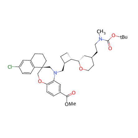 COC(=O)c1ccc2c(c1)N(C[C@H]1CC[C@@H]1[C@@H]1C[C@@H](CCN(C)C(=O)OC(C)(C)C)CCO1)C[C@@]1(CCCc3cc(Cl)ccc31)CO2